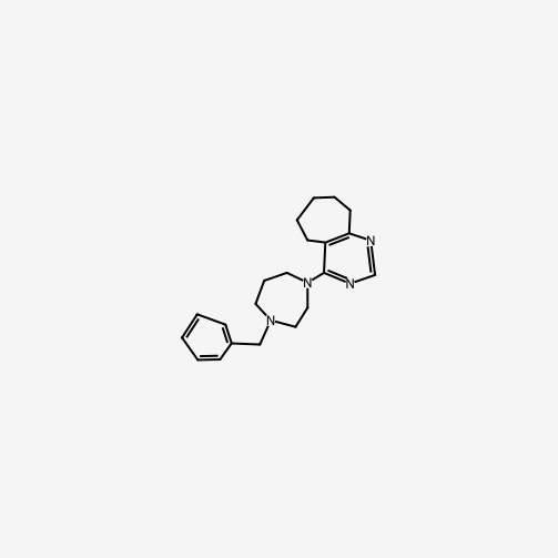 c1ccc(CN2CCCN(c3ncnc4c3CCCCC4)CC2)cc1